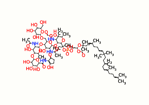 C=C(C/C=C(\C)CCC=C(C)C)CCC(C)(C)/C=C/CC/C(C)=C\CC(C)(C)O[C@H](COP(=O)(O)OC(C)(C)C1OC(C)C(C)(O)C(NOC=O)C1OC1OC(COC2OC(CO)C(O)C(O)C2O)C(OC2OC(C)C(OC3OC(C(=O)NC4=C(O)CCC4=O)C(O)C(O)C3O)C(O)C2NC(C)=O)C(O)C1NC(C)=O)OC=O